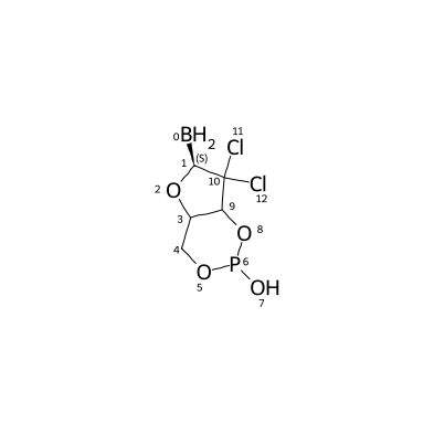 B[C@@H]1OC2COP(O)OC2C1(Cl)Cl